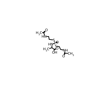 CC(=O)NCCSP(=O)(NC(C)C(=O)O)SCCNC(C)=O